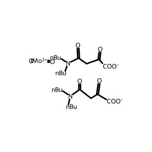 CCCCN(CCCC)C(=O)CC(=O)C(=O)[O-].CCCCN(CCCC)C(=O)CC(=O)C(=O)[O-].[O]=[Mo+2]=[O]